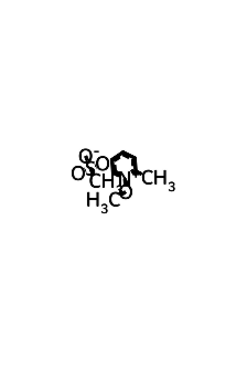 CO[n+]1ccccc1C.CS(=O)(=O)[O-]